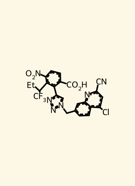 CCC(c1c([N+](=O)[O-])ccc(C(=O)O)c1-c1cn(Cc2ccc3c(Cl)cc(C#N)nc3c2)nn1)C(F)(F)F